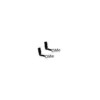 C=COC.C=COC